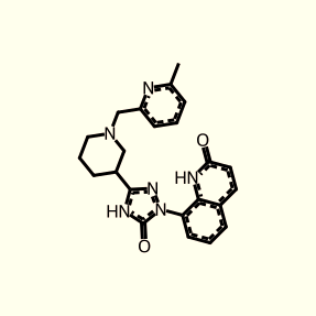 Cc1cccc(CN2CCCC(c3nn(-c4cccc5ccc(=O)[nH]c45)c(=O)[nH]3)C2)n1